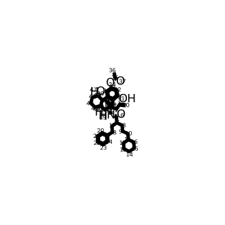 C=CC[N+]1(NC(=O)C(CCCC2CCCCC2)CCc2ccccc2)CC[C@]23c4c5c(O)cc(OC(C)=O)c4O[C@H]2CCC[C@H]3[C@H]1C5